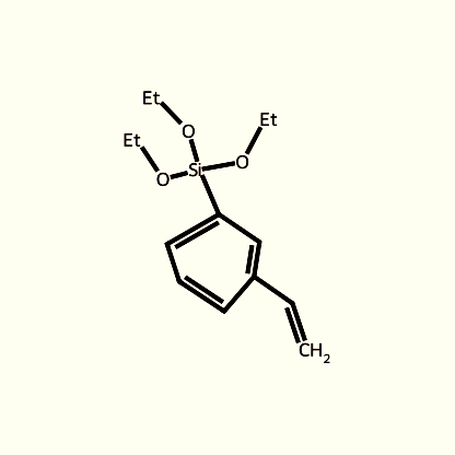 C=Cc1cccc([Si](OCC)(OCC)OCC)c1